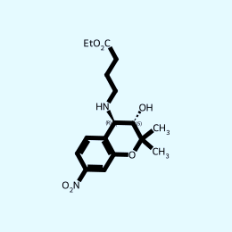 CCOC(=O)CCCN[C@@H]1c2ccc([N+](=O)[O-])cc2OC(C)(C)[C@H]1O